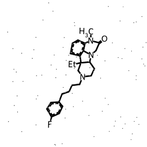 CCC12CN(CCCCc3ccc(F)cc3)CCC1N1CC(=O)N(C)c3cccc2c31